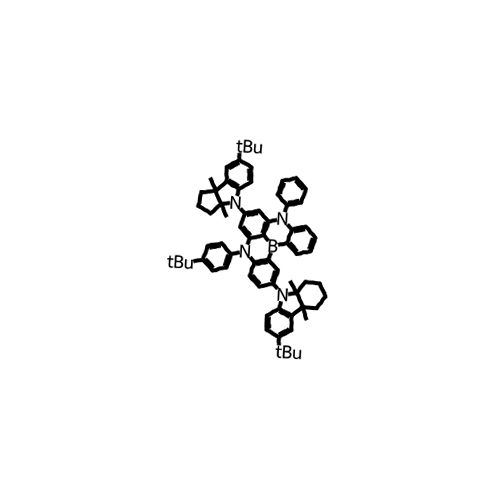 CC(C)(C)c1ccc(N2c3ccc(N4c5ccc(C(C)(C)C)cc5C5(C)CCCCC45C)cc3B3c4ccccc4N(c4ccccc4)c4cc(N5c6ccc(C(C)(C)C)cc6C6(C)CCCC56C)cc2c43)cc1